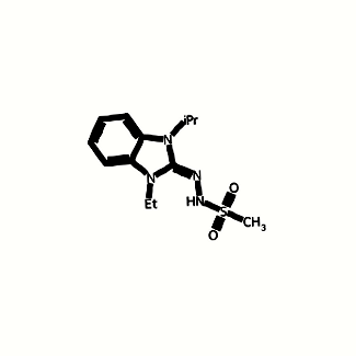 CCn1c(=NNS(C)(=O)=O)n(C(C)C)c2ccccc21